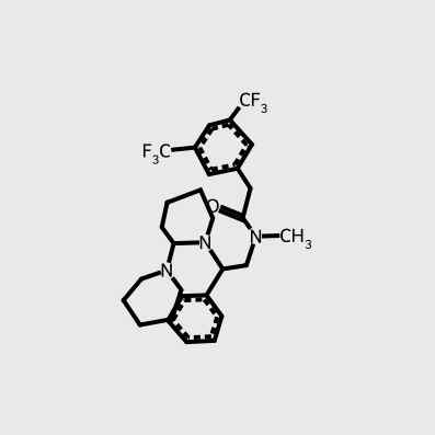 CN(CC(c1ccccc1)N1CCCCC1N1CCCCC1)C(=O)Cc1cc(C(F)(F)F)cc(C(F)(F)F)c1